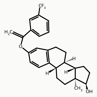 C=C(Oc1ccc2c(c1)CC[C@@H]1[C@@H]2CC[C@]2(C)[C@H](O)CC[C@@H]12)c1cccc(C(F)(F)F)c1